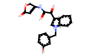 O=C1C=C(NC(=O)C(=O)c2cn(Cc3cccc(Br)c3)c3ccccc23)CO1